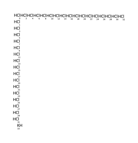 Cl.Cl.Cl.Cl.Cl.Cl.Cl.Cl.Cl.Cl.Cl.Cl.Cl.Cl.Cl.Cl.Cl.Cl.Cl.Cl.Cl.Cl.Cl.Cl.Cl.Cl.Cl.Cl.Cl.Cl.Cl.Cl.Cl.[KH]